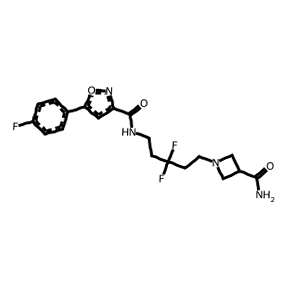 NC(=O)C1CN(CCC(F)(F)CCNC(=O)c2cc(-c3ccc(F)cc3)on2)C1